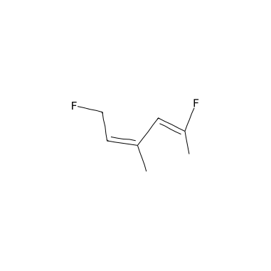 CC(=C/CF)/C=C(\C)F